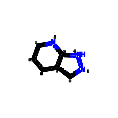 [c]1cnc2[nH]ncc2c1